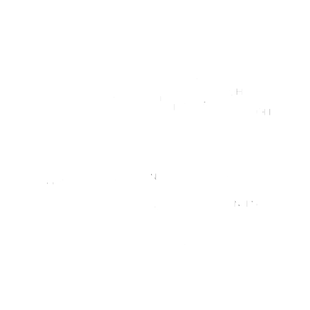 CC(=O)Nc1ccc([As](=O)(O)O)c(O)c1.CCC(CC)OC1CC(NC(=O)CCl)=CC(C(=O)O)C1